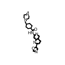 CN1CCN(CC2CCC(C(=O)Nc3cc4nc(-c5cnco5)ccc4cn3)CC2)CC1